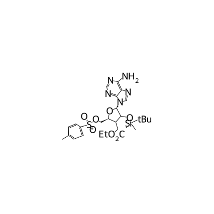 CCOC(=O)CC1C(O[Si](C)(C)C(C)(C)C)[C@H](n2cnc3c(N)ncnc32)O[C@@H]1COS(=O)(=O)c1ccc(C)cc1